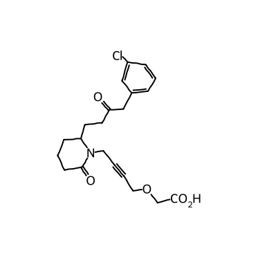 O=C(O)COCC#CCN1C(=O)CCCC1CCC(=O)Cc1cccc(Cl)c1